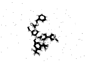 CC[C@@H]1C[C@H](N(Cc2cc(C(F)(F)F)cc(C(F)(F)F)c2)c2ncc(-c3cnn(C)c3)cn2)CN1C(=O)OCC1CCCCC1